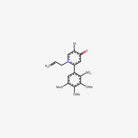 C=CCn1cc(CC)c(=O)cc1-c1cc(OC)c(OC)c(OC)c1[N+](=O)[O-]